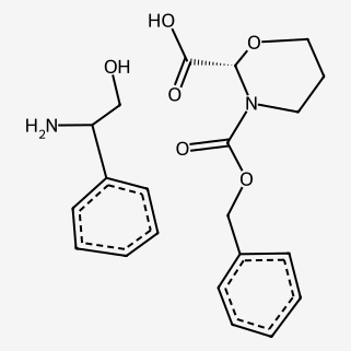 NC(CO)c1ccccc1.O=C(O)[C@@H]1OCCCN1C(=O)OCc1ccccc1